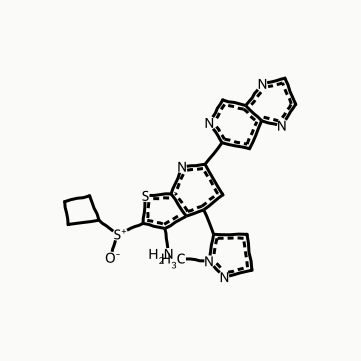 Cn1nccc1-c1cc(-c2cc3nccnc3cn2)nc2sc([S+]([O-])C3CCC3)c(N)c12